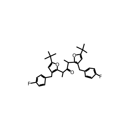 CC(C(=O)C(C)c1oc(C(C)(C)C)cc1Cc1ccc(F)cc1)c1oc(C(C)(C)C)cc1Cc1ccc(F)cc1